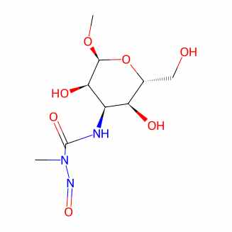 CO[C@H]1O[C@H](CO)[C@@H](O)[C@@H](NC(=O)N(C)N=O)[C@H]1O